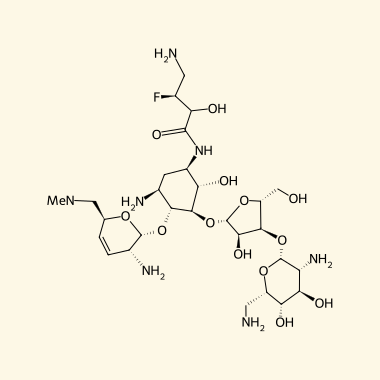 CNC[C@@H]1C=C[C@@H](N)[C@@H](O[C@H]2[C@H](O[C@@H]3O[C@H](CO)[C@@H](O[C@H]4O[C@@H](CN)[C@@H](O)[C@H](O)[C@H]4N)[C@H]3O)[C@@H](O)[C@H](NC(=O)C(O)[C@@H](F)CN)C[C@@H]2N)O1